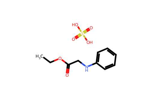 CCOC(=O)CNc1ccccc1.O=S(=O)(O)O